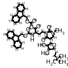 C=P(C)(C)CC[C@H]1O[C@@H](c2cn(C)c(=O)n(CCC(NC(=O)OCC3c4ccccc4-c4ccccc43)C(=O)OC(=O)OCC3c4ccccc4-c4ccccc43)c2=O)[C@H](O)[C@@H]1O